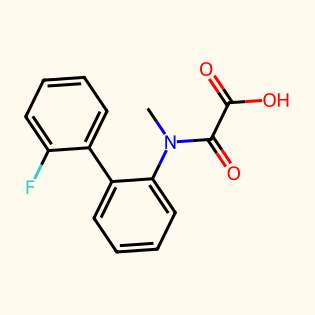 CN(C(=O)C(=O)O)c1ccccc1-c1ccccc1F